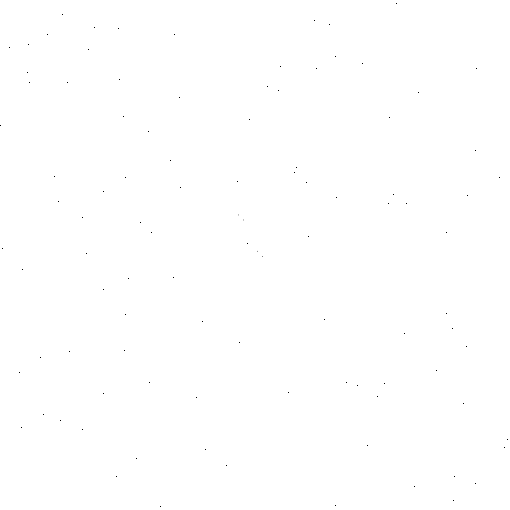 [Na+].[O-][N+]1([O-])OO1